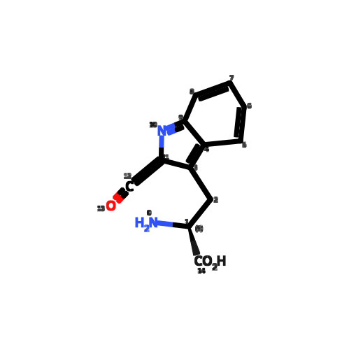 N[C@@H](CC1=c2ccccc2=NC1=C=O)C(=O)O